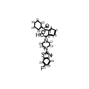 O=S(=O)(c1ccccc1C(O)N1CCN(c2nc3ccc(F)cc3s2)CC1)C1CCCCC1